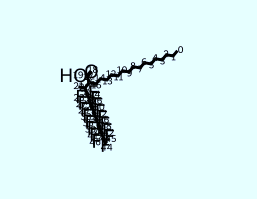 CCCCCCCCCCCCCCCCC(C(=O)O)C(C)C(F)(F)C(F)(F)C(F)(F)C(F)(F)C(F)(F)C(F)(F)C(F)(F)C(F)(F)F